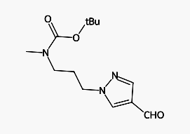 CN(CCCn1cc(C=O)cn1)C(=O)OC(C)(C)C